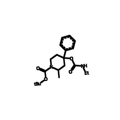 CCNC(=O)OC1(c2ccccc2)CCN(C(=O)OC(C)(C)C)C(C)C1